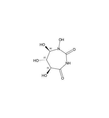 O=C1NC(=O)N(O)[C@H](O)[C@@H](O)[C@@H]1O